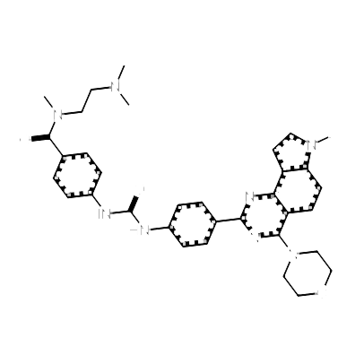 CCn1ccc2c3nc(-c4ccc(NC(=O)Nc5ccc(C(=O)N(C)CCN(C)C)cc5)cc4)nc(N4CCOCC4)c3ccc21